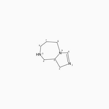 C1=NCC2CNCCCN12